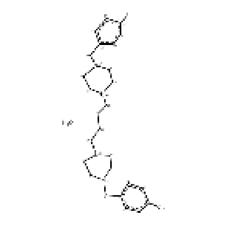 Clc1ccc(CN2CCN(CCCCN3CCN(Cc4ccc(Cl)cc4)CC3)CC2)cc1.O